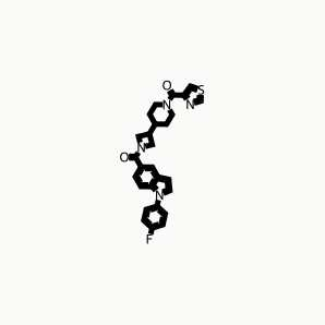 O=C(c1ccc2c(ccn2-c2ccc(F)cc2)c1)N1CC(C2CCN(C(=O)c3cscn3)CC2)C1